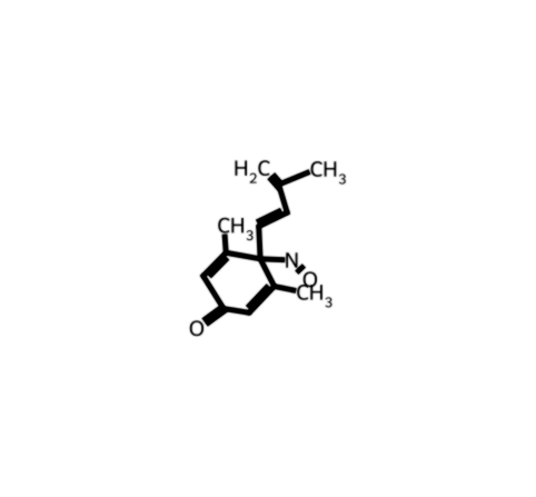 C=C(C)/C=C/C1(N=O)C(C)=CC(=O)C=C1C